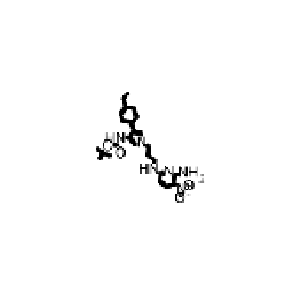 CCc1ccc(-c2cn(CCCNc3ccc([N+](=O)[O-])c(N)n3)cc2NC(=O)OC(C)(C)C)cc1